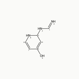 N=CNC1C=C(O)C=CN1